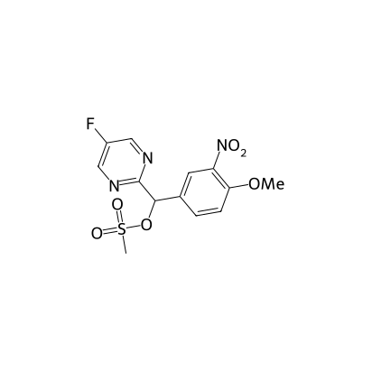 COc1ccc(C(OS(C)(=O)=O)c2ncc(F)cn2)cc1[N+](=O)[O-]